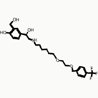 OCc1cc([C@@H](O)CNCCCCCCOCCOCc2ccc(C(F)(F)F)cc2)ccc1O